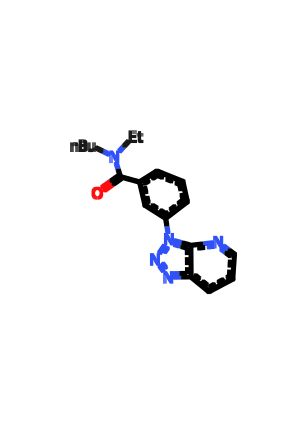 CCCCN(CC)C(=O)c1cccc(-n2nnc3cccnc32)c1